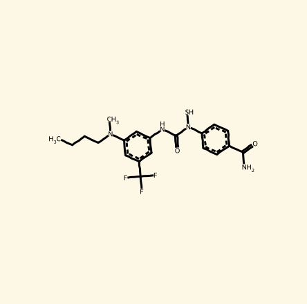 CCCCN(C)c1cc(NC(=O)N(S)c2ccc(C(N)=O)cc2)cc(C(F)(F)F)c1